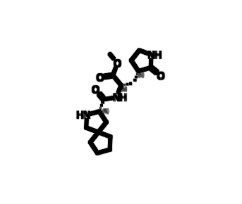 COC(=O)[C@H](C[C@@H]1CCNC1=O)NC(=O)[C@@H]1CC2(CCCC2)CN1